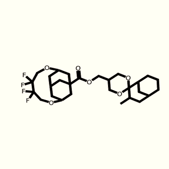 CC1CC2CCCC(C2)C12OCC(COC(=O)C13CC4CC(C1)OCC(F)(F)C(F)(F)COC(C4)C3)CO2